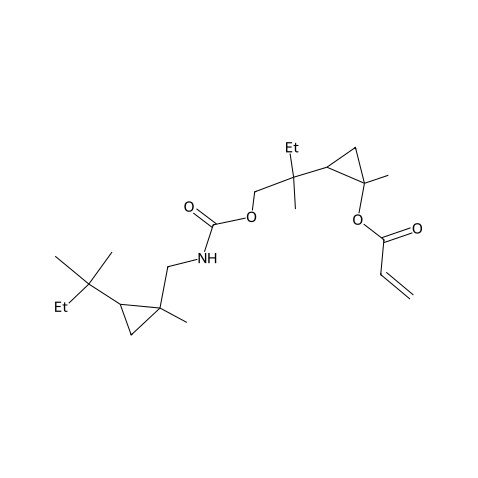 C=CC(=O)OC1(C)CC1C(C)(CC)COC(=O)NCC1(C)CC1C(C)(C)CC